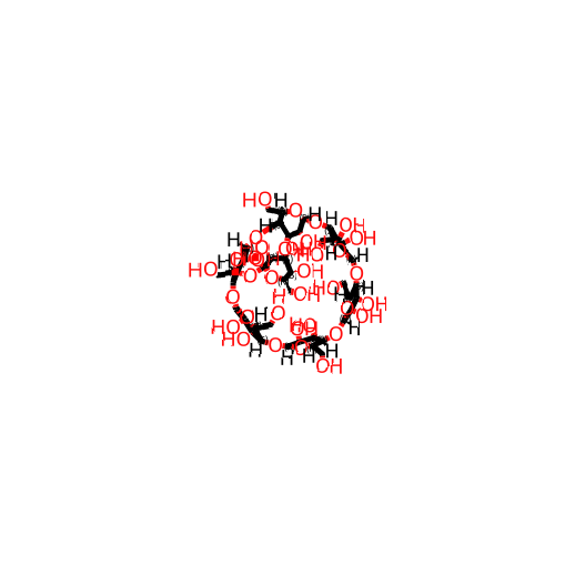 OC[C@H]1O[C@@H]2O[C@H]3C(O)C(O)[C@H](O[C@@H]3CO)O[C@H]3C(O)C(O)[C@H](O[C@@H]3CO)O[C@H]3C(O)C(O)[C@H](O[C@@H]3CO)O[C@H]3C(O)C(O)[C@H](O[C@@H]3CO)O[C@H]3C(O)C(O)C(OC1C(OC1(O)O[C@H](CO)[C@@H](O)[C@H](O)[C@H]1O)C2O)O[C@@H]3CO